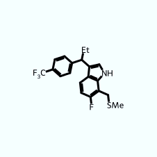 [CH2]CC(c1ccc(C(F)(F)F)cc1)c1c[nH]c2c(CSC)c(F)ccc12